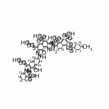 Cc1ccc(S(=O)(=O)Oc2cc(S(=O)(=O)O)cc3c(S(=O)(=O)O)c(N=Nc4cc(S(=O)(=O)O)c5cc(SOOO)c(N=Nc6ccc7c(O)c(N=Nc8ccccc8S(=O)(=O)O)c(SOOO)cc7c6)c(O)c5c4N)ccc23)cc1